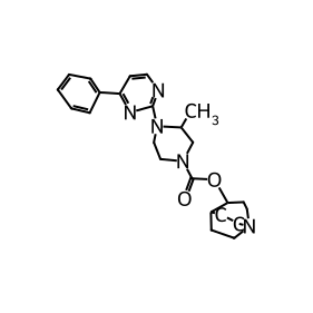 CC1CN(C(=O)OC2CCN3CCC2CC3)CCN1c1nccc(-c2ccccc2)n1